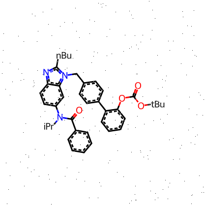 CCCCc1nc2ccc(N(C(=O)c3ccccc3)C(C)C)cc2n1Cc1ccc(-c2ccccc2OC(=O)OC(C)(C)C)cc1